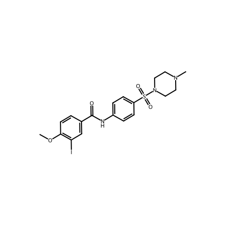 COc1ccc(C(=O)Nc2ccc(S(=O)(=O)N3CCN(C)CC3)cc2)cc1I